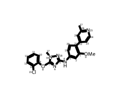 COc1cc(Nc2nc(Oc3ccccc3Cl)n(C)n2)ccc1-c1ccnc(C)c1